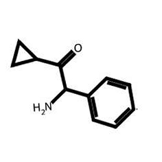 NC(C(=O)C1CC1)c1cc[c]cc1